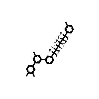 Cc1cc(-c2cccc(C(F)(F)C(F)(F)C(F)(F)C(F)(F)C(F)(F)C(F)(F)c3cccc(C)c3)c2)cc(-c2ccc(C)c(C)c2)c1